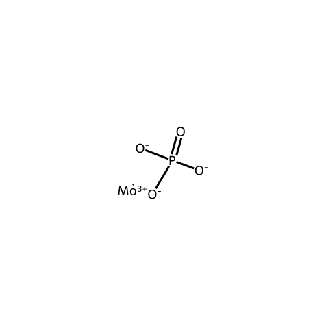 O=P([O-])([O-])[O-].[Mo+3]